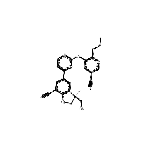 CCCc1ncc(C#N)cc1Nc1nccc(-c2cc(C#N)c3c(c2)[C@@](C)(CO)CN3)n1